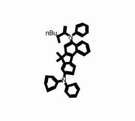 C=C(C(C)CCCC)N(c1ccccc1)c1cc2c(c3ccccc13)-c1ccc(N(c3ccccc3)c3ccccc3)cc1C2(C)C